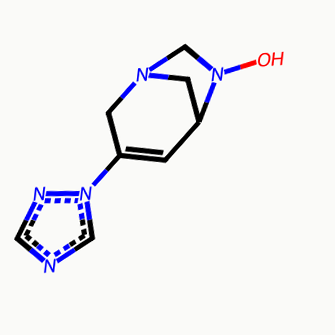 ON1CN2CC(n3cncn3)=CC1C2